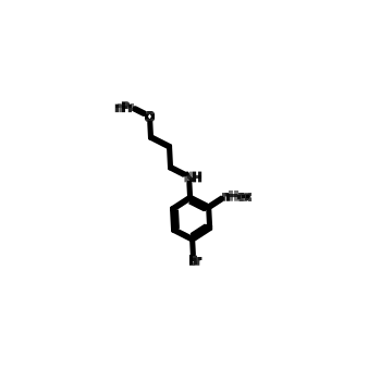 CCCCCCc1cc(Br)ccc1NCCCOCCC